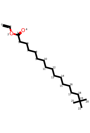 C=COC(=O)CCCCCCCCCCCCCCC(C)(C)C